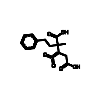 CC(CCc1ccccc1)(C(=O)O)C(CC(=O)O)=S(=O)=O